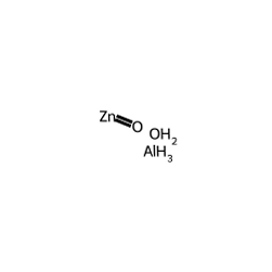 O.[AlH3].[O]=[Zn]